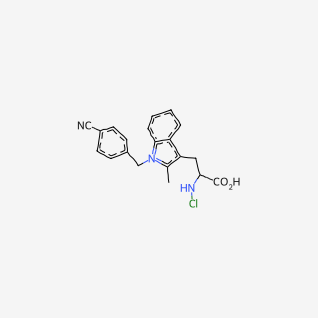 Cc1c(CC(NCl)C(=O)O)c2ccccc2n1Cc1ccc(C#N)cc1